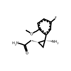 COc1ccc(F)cc1[C@@]1(N)C[C@@H]1CC(N)=O